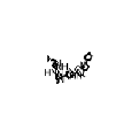 C/N=C\c1cc(Nc2cc(C)nc(-c3ccc(C(=O)NC(C)c4ccc(-c5ccccc5)nc4)nc3)n2)[nH]n1